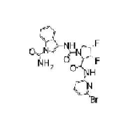 NC(=O)n1cc(NC(=O)N2C[C@H](F)[C@H](F)[C@H]2C(=O)Nc2cccc(Br)n2)c2ccccc21